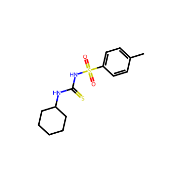 Cc1ccc(S(=O)(=O)NC(=S)NC2CCCCC2)cc1